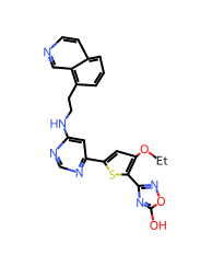 CCOc1cc(-c2cc(NCCc3cccc4ccncc34)ncn2)sc1-c1noc(O)n1